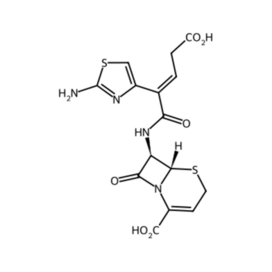 Nc1nc(C(=CCC(=O)O)C(=O)N[C@@H]2C(=O)N3C(C(=O)O)=CCS[C@@H]23)cs1